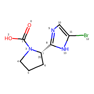 O=C(O)N1CCC[C@H]1c1ncc(Br)[nH]1